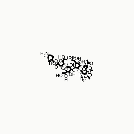 CC(=O)OCC1O[C@H](OC2C(O)[C@H](O)[C@H]([C@@H](O)CO)O[C@@H]2O[C@@H]2C(O)[C@@H](O[C@H]3C([C@H](O)CO)O[C@@](OCC4CCC(N)CN4C)(C(=O)O)C[C@H]3O)OC([C@@H](O)CO)[C@H]2O)[C@H](N=[N+]=[N-])C(OC(C)=O)[C@@H]1OC(C)=O